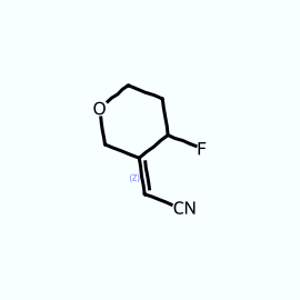 N#C/C=C1/COCCC1F